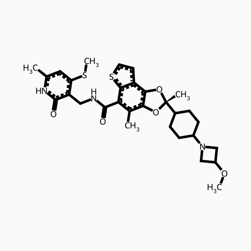 COC1CN(C2CCC([C@]3(C)Oc4c(C)c(C(=O)NCc5c(SC)cc(C)[nH]c5=O)c5sccc5c4O3)CC2)C1